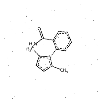 Cc1ccc(C)n1-c1ccccc1C(N)=O